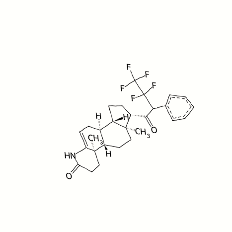 C[C@]12CC[C@H]3[C@@H](CC=C4NC(=O)CC[C@@]43C)[C@@H]1CC[C@@H]2C(=O)C(c1ccccc1)C(F)(F)C(F)(F)F